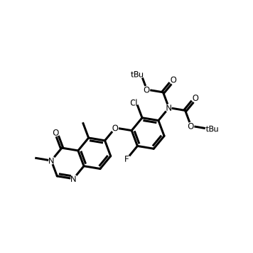 Cc1c(Oc2c(F)ccc(N(C(=O)OC(C)(C)C)C(=O)OC(C)(C)C)c2Cl)ccc2ncn(C)c(=O)c12